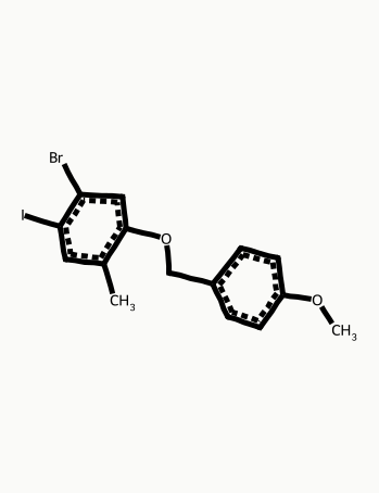 COc1ccc(COc2cc(Br)c(I)cc2C)cc1